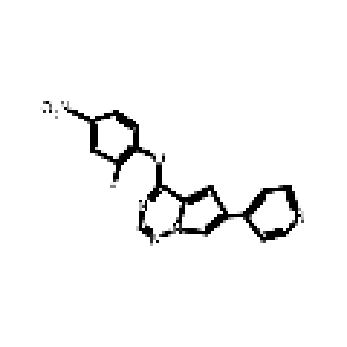 O=[N+]([O-])c1ccc(Oc2ncnn3cc(-c4ccncc4)cc23)c(F)c1